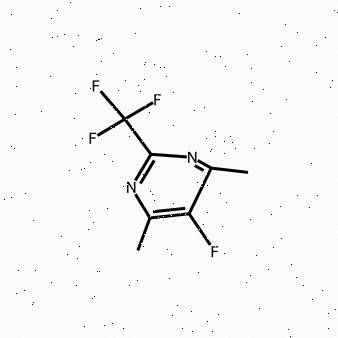 Cc1nc(C(F)(F)F)nc(C)c1F